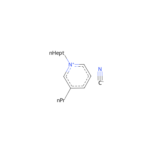 CCCCCCC[n+]1cccc(CCC)c1.[C-]#N